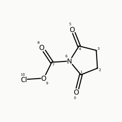 O=C1CCC(=O)N1C(=O)OCl